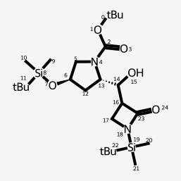 CC(C)(C)OC(=O)N1C[C@H](O[Si](C)(C)C(C)(C)C)C[C@H]1C(O)C1CN([Si](C)(C)C(C)(C)C)C1=O